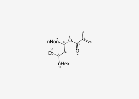 C=C(C)C(=O)OC(CCCCCCCCC)CC(CC)CCCCCC